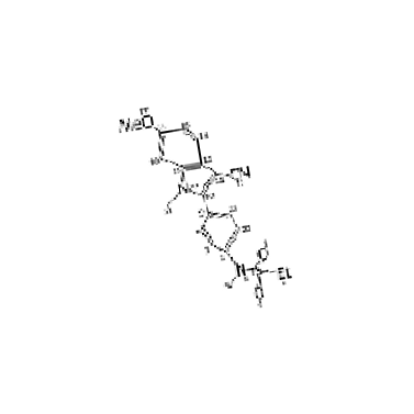 CCS(=O)(=O)N(C)c1ccc(-c2c(C#N)c3ccc(OC)cc3n2C)cc1